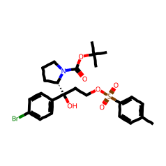 Cc1ccc(S(=O)(=O)OCCC(O)(c2ccc(Br)cc2)[C@@H]2CCCN2C(=O)OC(C)(C)C)cc1